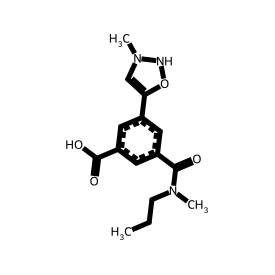 CCCN(C)C(=O)c1cc(C(=O)O)cc(C2=CN(C)NO2)c1